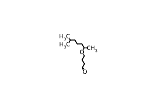 CC(C)CCC[C@@H](C)OCCCC=O